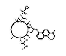 CC[C@@H]1C[C@@H](C)CCC=C[C@@H]2C[C@@]2(C(=O)NS(=O)(=O)C2CC2)NC(=O)[C@@H]2C[C@@H](Oc3nccc4c5c(ccc34)N(C)CCO5)CN2C(=O)[C@H]1NC(=O)NC(C)(C)C